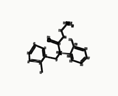 Cc1ccccc1CN(C(=O)CCN)c1ccccc1C